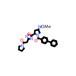 CON=C1CC(c2nc(CC(=O)N3CCCC3)no2)N(C(=O)c2ccc(-c3ccccc3)cc2)C1